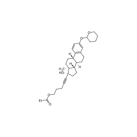 CCC(=O)OCCCC#C[C@]1(O)CC[C@H]2[C@@H]3CCc4cc(OC5CCCCO5)ccc4[C@H]3CC[C@@]21C